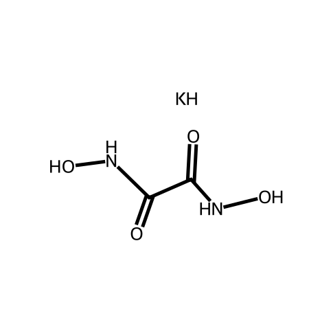 O=C(NO)C(=O)NO.[KH]